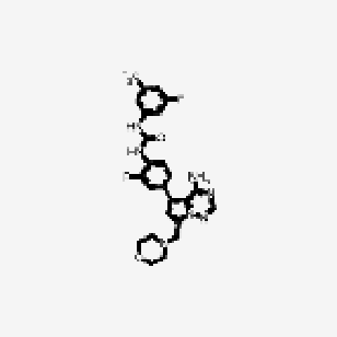 Nc1ncnn2c(CN3CCOCC3)cc(-c3ccc(NC(=O)Nc4cc(F)cc(C(F)(F)F)c4)c(F)c3)c12